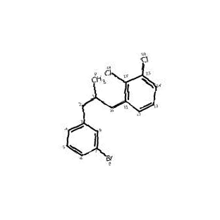 CC(Cc1cccc(Br)c1)Cc1[c]ccc(Cl)c1Cl